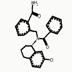 NC(=O)c1ccccc1CN(C(=O)c1ccccc1)[C@@H]1CCCc2ccc(Cl)cc21